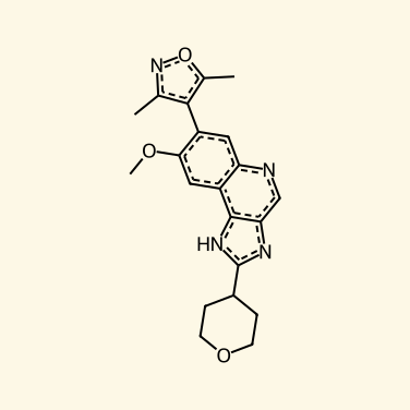 COc1cc2c(cc1-c1c(C)noc1C)ncc1nc(C3CCOCC3)[nH]c12